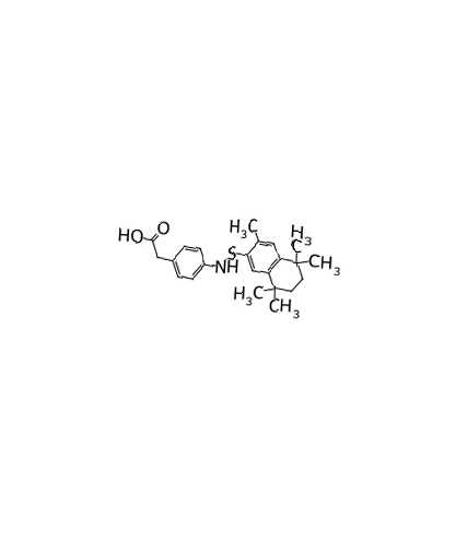 Cc1cc2c(cc1SNc1ccc(CC(=O)O)cc1)C(C)(C)CCC2(C)C